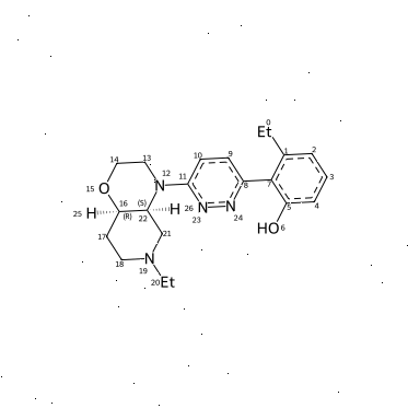 CCc1cccc(O)c1-c1ccc(N2CCO[C@@H]3CCN(CC)C[C@@H]32)nn1